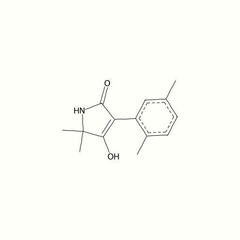 Cc1ccc(C)c(C2=C(O)C(C)(C)NC2=O)c1